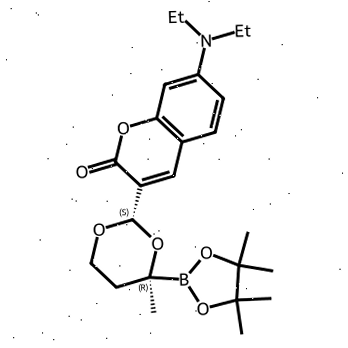 CCN(CC)c1ccc2cc([C@H]3OCC[C@](C)(B4OC(C)(C)C(C)(C)O4)O3)c(=O)oc2c1